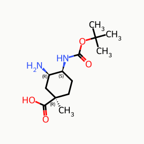 CC(C)(C)OC(=O)N[C@H]1CC[C@@](C)(C(=O)O)C[C@H]1N